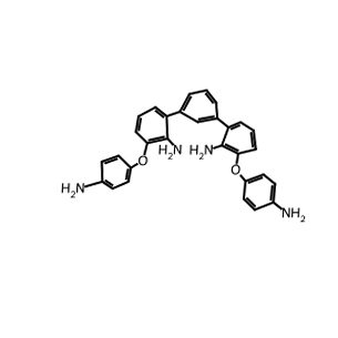 Nc1ccc(Oc2cccc(-c3cccc(-c4cccc(Oc5ccc(N)cc5)c4N)c3)c2N)cc1